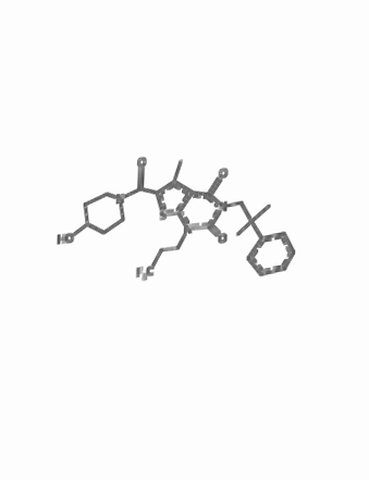 Cc1c(C(=O)N2CCC(O)CC2)sc2c1c(=O)n(CC(C)(C)c1ccccc1)c(=O)n2CCC(F)(F)F